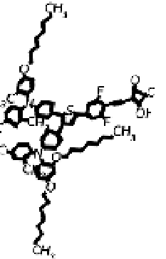 CCCCCCCCOc1ccc(N(c2ccc(-c3sc(-c4cc(F)c(C#Cc5c(O)c(=O)c5=O)c(F)c4)cc3-c3ccc(N(c4ccc(C)cc4C)c4ccc(OCCCCCCCC)cc4OCCCCCCCC)cc3)cc2)c2ccc(C)cc2C)c(C)c1